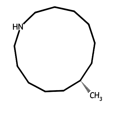 C[C@H]1CCCCCCNCCCCC1